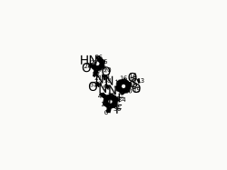 Cc1cc(Cn2c(Nc3ccc(S(C)(=O)=O)cc3)nc(=O)n(Cc3ccc[nH]c3=O)c2=O)cc(F)c1F